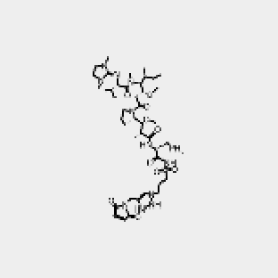 CC[C@H](C)[C@@H]([C@@H](CC(=O)N1CCC[C@H]1[C@H](OC)[C@@H](C)C(=O)N[C@@H](CP)C(=O)NS(=O)(=O)CCCN1C=C(CN2C(=O)C=CC2=O)NN1)OC)N(C)C(=O)[C@@H](N=C1N(C)CCN1C)C(C)C